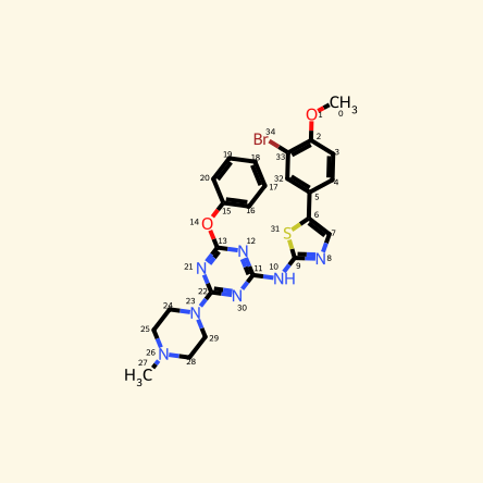 COc1ccc(-c2cnc(Nc3nc(Oc4ccccc4)nc(N4CCN(C)CC4)n3)s2)cc1Br